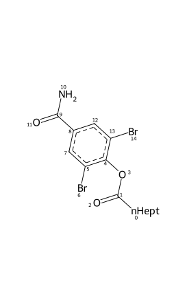 CCCCCCCC(=O)Oc1c(Br)cc(C(N)=O)cc1Br